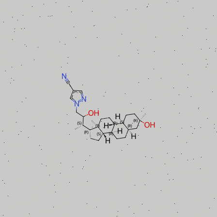 C[C@H](C(O)Cn1cc(C#N)cn1)[C@H]1CC[C@H]2[C@@H]3CC[C@@H]4C[C@](C)(O)CC[C@@H]4[C@H]3CC[C@]12C